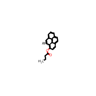 CCCC(=O)Oc1ccc2ccc3cccc4ccc1c2c34.[AlH3]